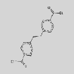 CCC(=O)c1ccc(CCc2ccc(C(=O)CC)cc2)cc1